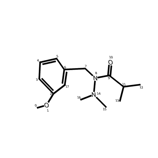 COc1cccc(CN(C(=O)C(C)C)N(C)C)c1